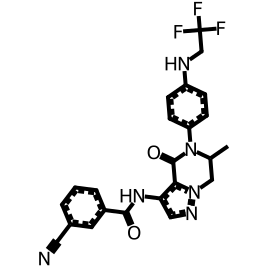 CC1Cn2ncc(NC(=O)c3cccc(C#N)c3)c2C(=O)N1c1ccc(NCC(F)(F)F)cc1